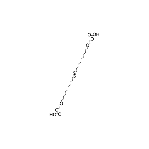 O=C(O)OCCOCCCCCCCCCCCSSCCCCCCCCCCCOCCOC(=O)O